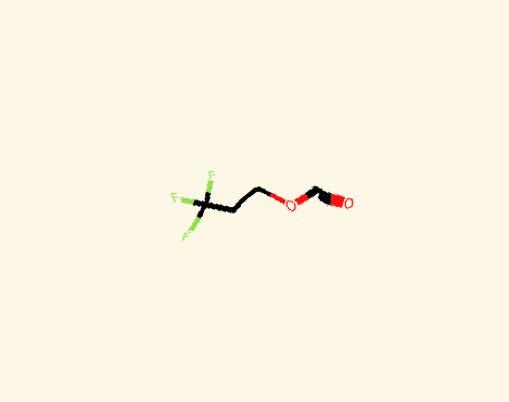 O=COCCC(F)(F)F